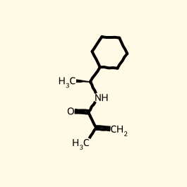 C=C(C)C(=O)N[C@@H](C)C1CCCCC1